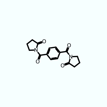 O=C1CCCN1C(=O)c1ccc(C(=O)N2CCCC2=O)cc1